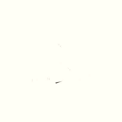 CNC[C@@H]1CC2(CC2)CN1C(=O)c1ccccn1